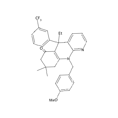 CCC1(c2cccc(C(F)(F)F)c2)C2=C(CC(C)(C)CC2=O)N(Cc2ccc(OC)cc2)c2ncccc21